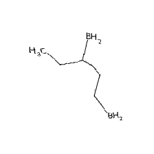 BCCC(B)CC